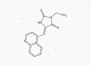 CCN1C(=O)/C(=C/c2ccnc3ccccc23)NC1=S